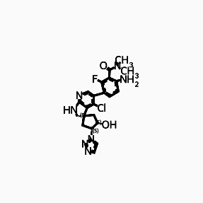 CN(C)C(=O)c1c(N)ccc(-c2cnc3c(c2Cl)[C@@]2(CN3)C[C@H](O)[C@@H](n3ccnn3)C2)c1F